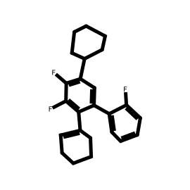 Fc1ccccc1-c1cc(C2CCCCC2)c(F)c(F)c1C1=CCCCC1